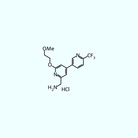 COCCOc1cc(-c2ccc(C(F)(F)F)nc2)cc(CN)n1.Cl